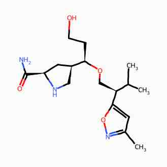 Cc1cc([C@@H](CO[C@H](CCO)[C@H]2CN[C@@H](C(N)=O)C2)C(C)C)on1